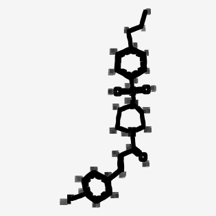 CCCc1ccc(S(=O)(=O)N2CCN(C(=O)C=Cc3ccc(F)cc3)CC2)cc1